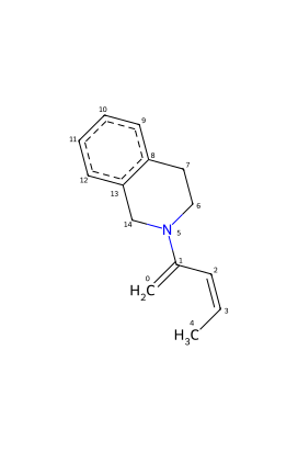 C=C(/C=C\C)N1CCc2ccccc2C1